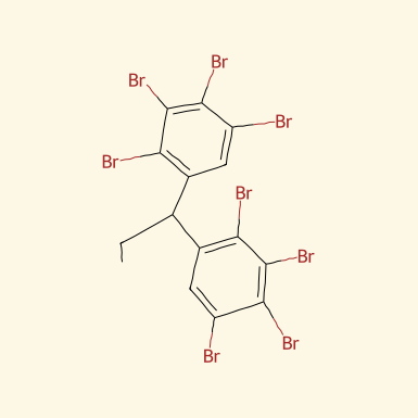 CCC(c1cc(Br)c(Br)c(Br)c1Br)c1cc(Br)c(Br)c(Br)c1Br